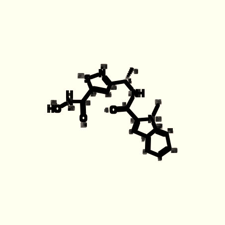 C[C@H](NC(=O)c1cc2ccccc2n1C)c1cc(C(=O)NO)sn1